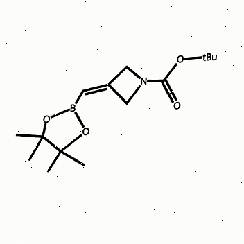 CC(C)(C)OC(=O)N1CC(=CB2OC(C)(C)C(C)(C)O2)C1